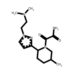 CC1CCC(c2ccn(CCN(C)C)n2)N(C(=O)C(N)=O)C1